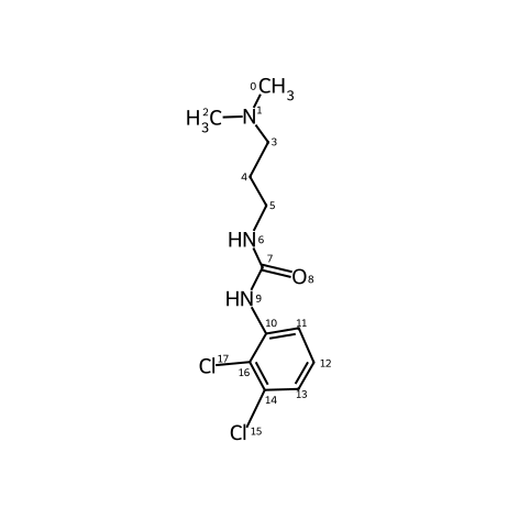 CN(C)CCCNC(=O)Nc1cccc(Cl)c1Cl